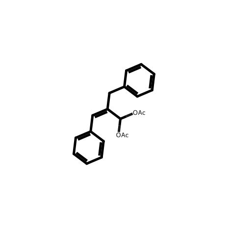 CC(=O)OC(OC(C)=O)C(=Cc1ccccc1)Cc1ccccc1